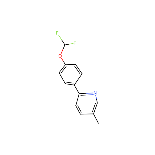 Cc1ccc(-c2ccc(OC(F)F)cc2)nc1